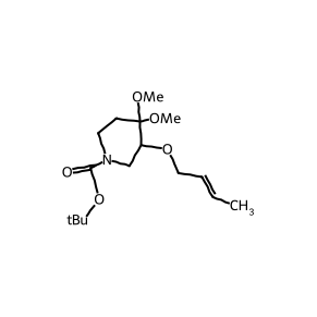 CC=CCOC1CN(C(=O)OC(C)(C)C)CCC1(OC)OC